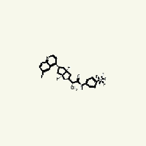 C[C@@H](C(=O)Nc1ccc(S(F)(F)(F)(F)F)cc1)[C@H]1C[C@H]2C[C@@H](c3ccnc4ccc(F)cc34)C[C@H]2C1